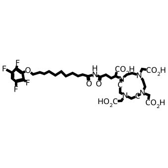 O=C(O)CN1CCN(CC(=O)O)CCN(C(CCC(=O)NC(=O)CCCCCCCCCCOc2c(F)c(F)cc(F)c2F)C(=O)O)CCN(CC(=O)O)CC1